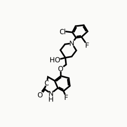 O=C1CCc2c(OCC3(O)CCN(c4c(F)cccc4Cl)CC3)ccc(F)c2N1